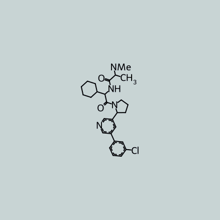 CNC(C)C(=O)NC(C(=O)N1CCCC1c1cncc(-c2cccc(Cl)c2)c1)C1CCCCC1